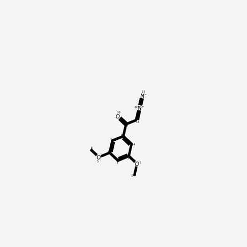 COc1cc(OC)cc(C(=O)C=[N+]=[N-])c1